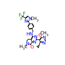 COc1ncnc(C2CC2)c1-c1nc(NCc2ccc(-c3nc(C(F)(F)F)cn3C)cc2)c2c(n1)C(=O)N(C)CC2